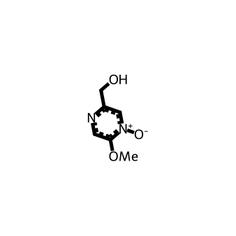 COc1cnc(CO)c[n+]1[O-]